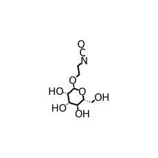 O=C=NCCO[C@H]1O[C@H](CO)[C@@H](O)[C@H](O)[C@@H]1O